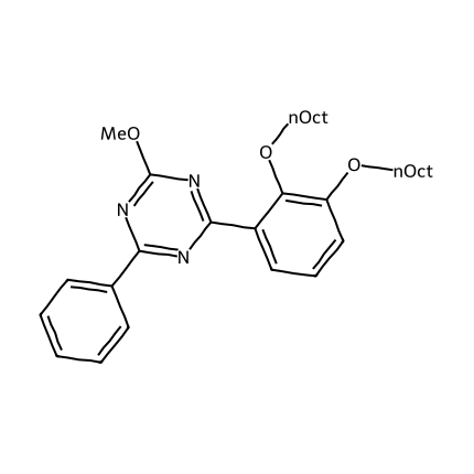 CCCCCCCCOc1cccc(-c2nc(OC)nc(-c3ccccc3)n2)c1OCCCCCCCC